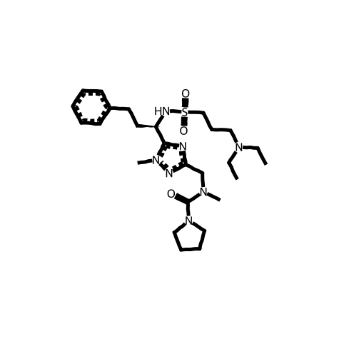 CCN(CC)CCCS(=O)(=O)N[C@H](CCc1ccccc1)c1nc(CN(C)C(=O)N2CCCC2)nn1C